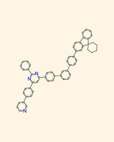 c1ccc(-c2nc(-c3ccc(-c4cccnc4)cc3)cc(-c3ccc(-c4cccc(-c5ccc(-c6ccc7c(c6)C6(CCCCC6)c6ccccc6-7)cc5)c4)cc3)n2)cc1